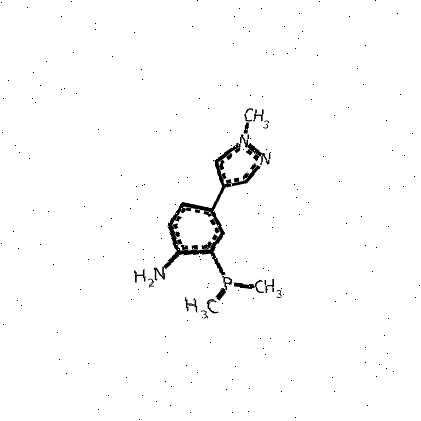 Cn1cc(-c2ccc(N)c(P(C)C)c2)cn1